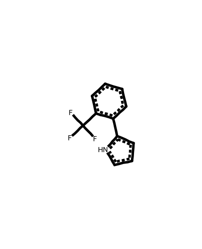 FC(F)(F)c1ccccc1-c1ccc[nH]1